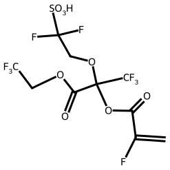 C=C(F)C(=O)OC(OCC(F)(F)S(=O)(=O)O)(C(=O)OCC(F)(F)F)C(F)(F)F